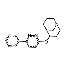 c1ccc(-c2ccc(OC3CCN4CCCC3C4)nn2)cc1